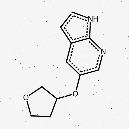 c1cc2cc(OC3CCOC3)cnc2[nH]1